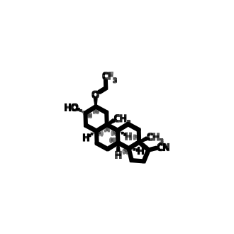 C[C@]12C[C@H](OCC(F)(F)F)[C@@H](O)C[C@@H]1CC[C@@H]1[C@@H]2CC[C@]2(C)C(C#N)CC[C@@H]12